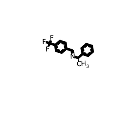 C[C@H](N=Cc1ccc(C(F)(F)F)cc1)c1ccccc1